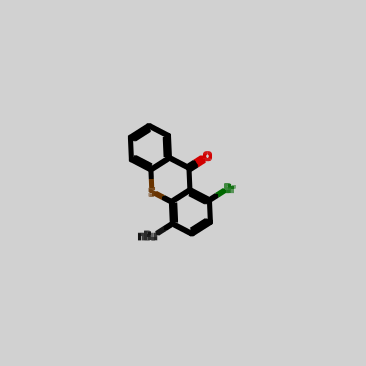 CCCCc1ccc(Br)c2c(=O)c3ccccc3sc12